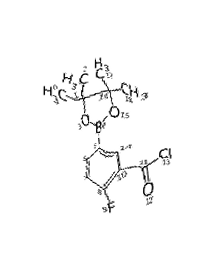 CC1(C)OB(c2ccc(F)c(C(=O)Cl)c2)OC1(C)C